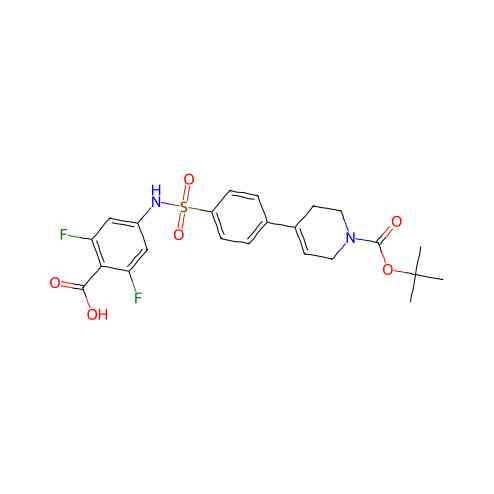 CC(C)(C)OC(=O)N1CC=C(c2ccc(S(=O)(=O)Nc3cc(F)c(C(=O)O)c(F)c3)cc2)CC1